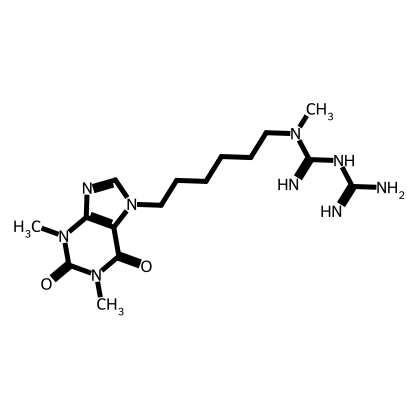 CN(CCCCCCn1cnc2c1c(=O)n(C)c(=O)n2C)C(=N)NC(=N)N